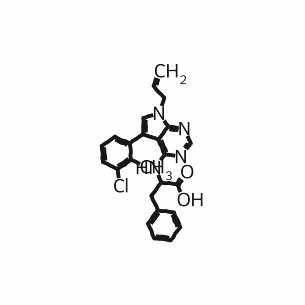 C=CCn1cc(-c2cccc(Cl)c2C)c2c(NC(Cc3ccccc3)C(=O)O)ncnc21